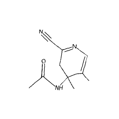 CC(=O)NC1(C)CC(C#N)=NC=C1C